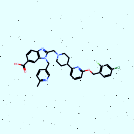 Cc1ccc(Cn2c(CN3CCC(c4cccc(OCc5ccc(Cl)cc5F)n4)CC3)nc3ccc(C(=O)O)cc32)cn1